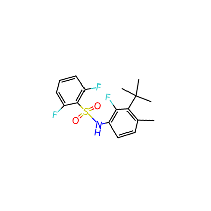 Cc1ccc(NS(=O)(=O)c2c(F)cccc2F)c(F)c1C(C)(C)C